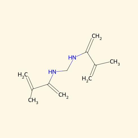 C=C(C)C(=C)NCNC(=C)C(=C)C